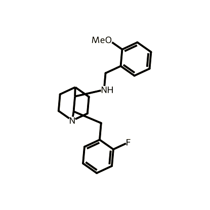 COc1ccccc1CNC1C2CCN(CC2)C1Cc1ccccc1F